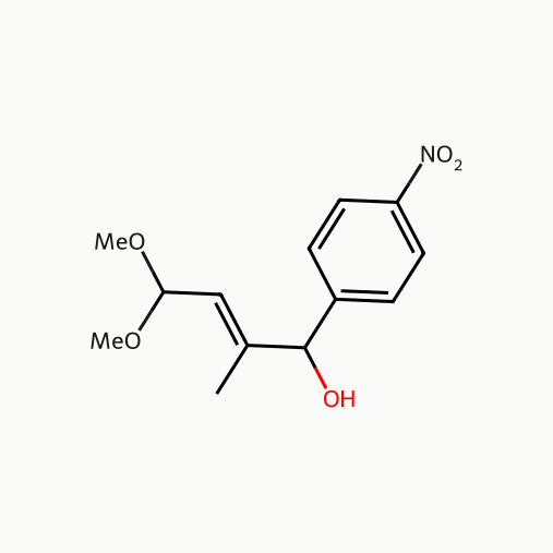 COC(C=C(C)C(O)c1ccc([N+](=O)[O-])cc1)OC